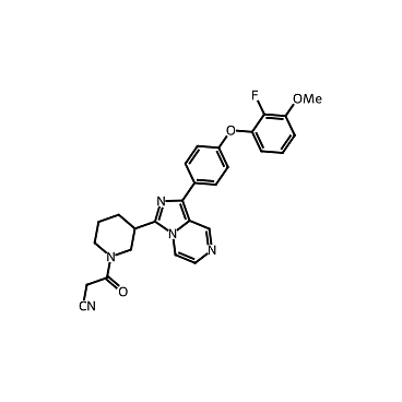 COc1cccc(Oc2ccc(-c3nc(C4CCCN(C(=O)CC#N)C4)n4ccncc34)cc2)c1F